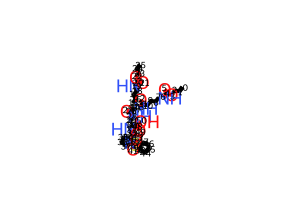 C=CCOC(=O)NCCCCC(=O)N[C@@H](CCCCNC(=O)OCC=C)C(=O)NC[C@H](NC(=O)[C@@H]1CCCN1S(=O)(=O)c1ccccc1)C(=O)O